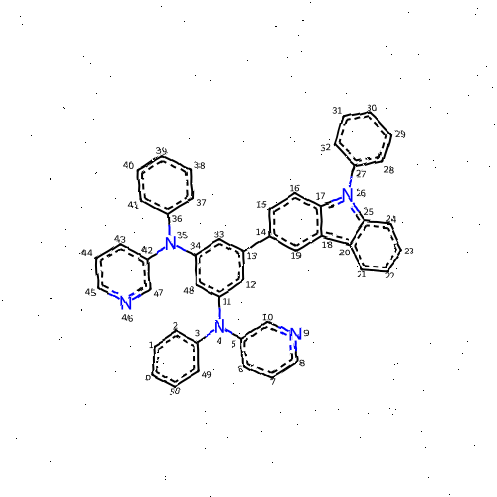 c1ccc(N(c2cccnc2)c2cc(-c3ccc4c(c3)c3ccccc3n4-c3ccccc3)cc(N(c3ccccc3)c3cccnc3)c2)cc1